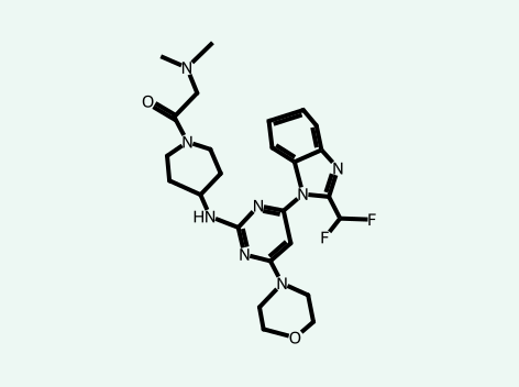 CN(C)CC(=O)N1CCC(Nc2nc(N3CCOCC3)cc(-n3c(C(F)F)nc4ccccc43)n2)CC1